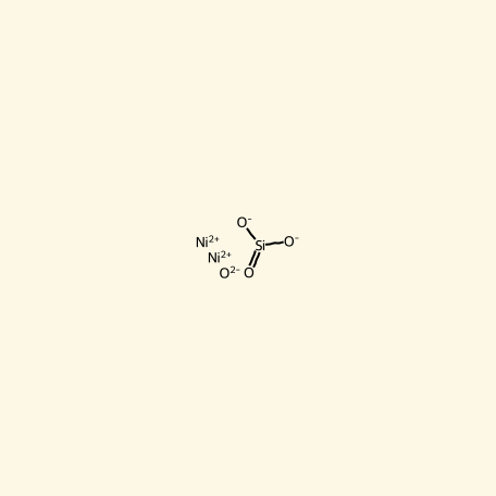 O=[Si]([O-])[O-].[Ni+2].[Ni+2].[O-2]